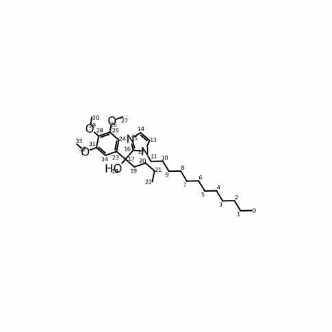 CCCCCCCCCCCCn1ccnc1C(O)(CCCC)c1cc(OC)c(OC)c(OC)c1